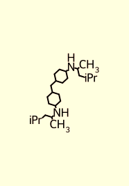 CC(C)CC(C)NC1CCC(CC2CCC(NC(C)CC(C)C)CC2)CC1